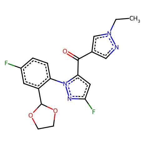 CCn1cc(C(=O)c2cc(F)nn2-c2ccc(F)cc2C2OCCO2)cn1